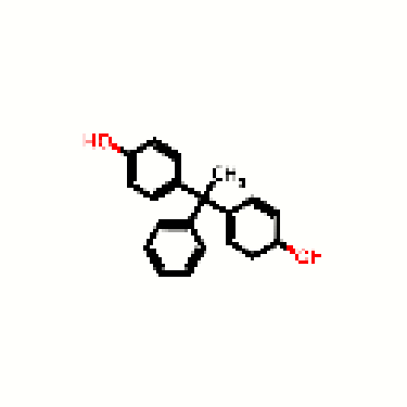 CC(C1=CCC(O)C=C1)(c1ccccc1)c1ccc(O)cc1